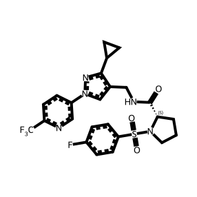 O=C(NCc1cn(-c2ccc(C(F)(F)F)nc2)nc1C1CC1)[C@@H]1CCCN1S(=O)(=O)c1ccc(F)cc1